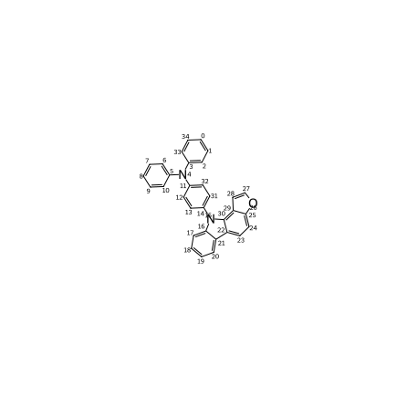 c1ccc(N(c2ccccc2)c2ccc(-n3c4ccccc4c4ccc5occc5c43)cc2)cc1